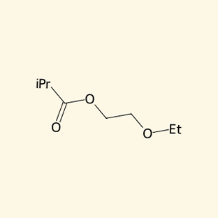 CCOCCOC(=O)C(C)C